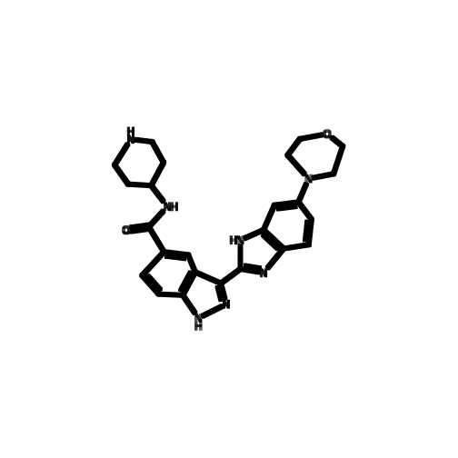 O=C(NC1CCNCC1)c1ccc2[nH]nc(-c3nc4ccc(N5CCOCC5)cc4[nH]3)c2c1